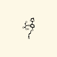 N#CC=CCOc1ccc(-c2nccs2)cc1.NC(C=O)C(=O)O